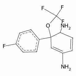 NC1=CC(OC(F)(F)F)(c2ccc(F)cc2)C(N)C=C1